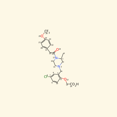 CC1CN(Cc2cc(Cl)ccc2OCC(=O)O)CCN1C(=O)Cc1ccc(OC(F)(F)F)cc1